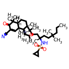 CCCC(C)(C)CC[C@@](C)(CCC(C)(C)[C@]1(C)CC[C@H]2C(C)(C)C(=O)C(C#N)=C[C@]2(C)/C1=C/C(C)=O)NS(=O)(=O)C1CC1